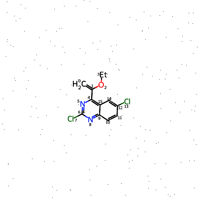 C=C(OCC)c1nc(Cl)nc2ccc(Cl)cc12